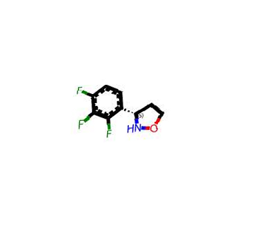 Fc1ccc([C@@H]2CCON2)c(F)c1F